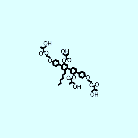 C=C(CO)C(=O)OCCOc1ccc(-c2ccc(-c3cc(OC(=O)C(=C)CO)c(-c4ccc(OCCOC(=O)C(=C)CO)cc4)cc3CCCCCC)cc2OC(=O)C(=C)CO)cc1